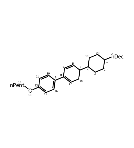 CCCCCCCCCCC1CCC(C2C=CC(c3ccc(OCCCCC)cc3)=CC2)CC1